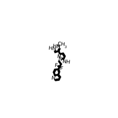 CN/C=C(\C=N)c1ccc(=N)n(CCC(F)(F)c2ccc3ncccc3c2)n1